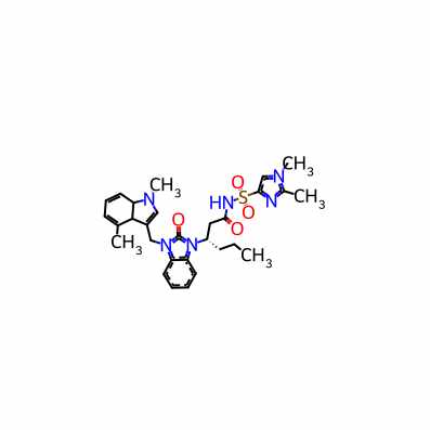 CCC[C@@H](CC(=O)NS(=O)(=O)c1cn(C)c(C)n1)n1c(=O)n(CC2=CN(C)C3C=CC=C(C)C23)c2ccccc21